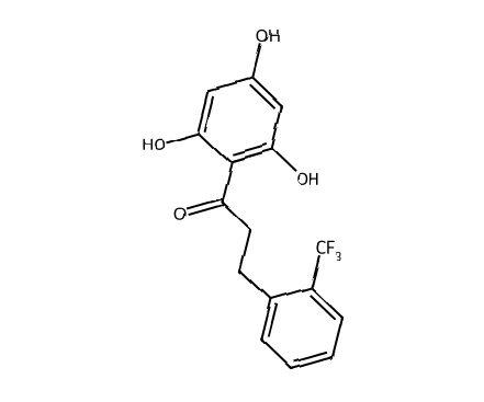 O=C(CCc1ccccc1C(F)(F)F)c1c(O)cc(O)cc1O